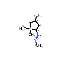 C/N=N/C1CC(C)C[Si]1(C)C